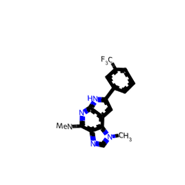 CNc1nc2[nH]c(-c3cccc(C(F)(F)F)c3)cc2c2c1ncn2C